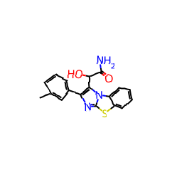 Cc1cccc(-c2nc3sc4ccccc4n3c2C(O)C(N)=O)c1